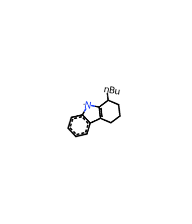 CCCCC1CCCC2=C1[N]c1ccccc12